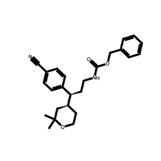 CC1(C)C[C@@H]([C@H](CCNC(=O)OCc2ccccc2)c2ccc(C#N)cc2)CCO1